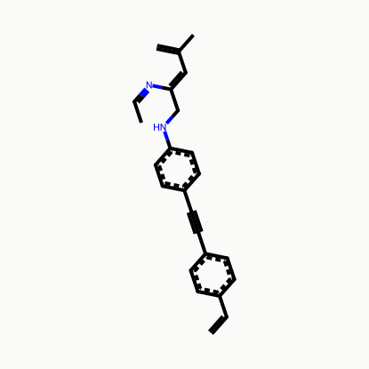 C=Cc1ccc(C#Cc2ccc(NCC(=C/C(=C)C)/N=C\C)cc2)cc1